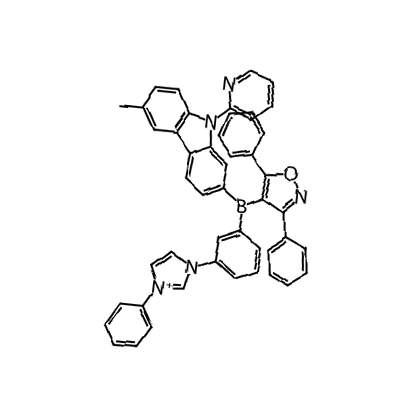 Cc1ccc2c(c1)c1ccc(B(c3cccc(-n4cc[n+](-c5ccccc5)c4)c3)c3c(-c4ccccc4)noc3-c3ccccc3)cc1n2-c1ccccn1